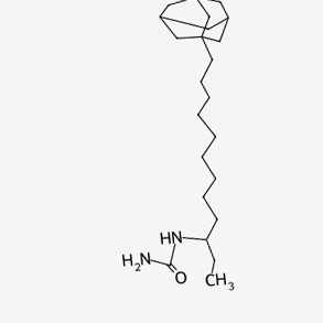 CCC(CCCCCCCCCC12CC3CC(CC(C3)C1)C2)NC(N)=O